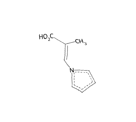 CC(=Cn1cccc1)C(=O)O